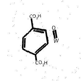 O=C(O)c1ccc(C(=O)O)cc1.[O]=[W]